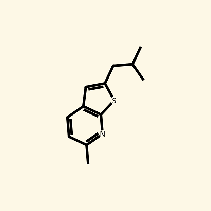 Cc1ccc2cc(CC(C)C)sc2n1